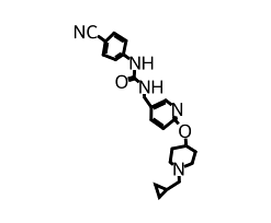 N#Cc1ccc(NC(=O)NCc2ccc(OC3CCN(CC4CC4)CC3)nc2)cc1